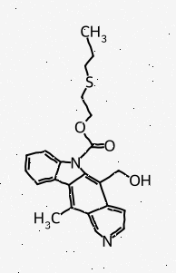 CCCSCCOC(=O)n1c2ccccc2c2c(C)c3cnccc3c(CO)c21